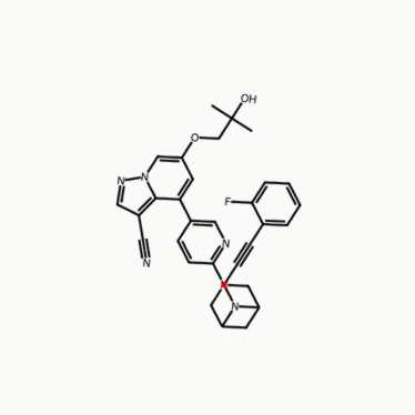 CC(C)(O)COc1cc(-c2ccc(N3CC4CC(C3)N4CC#Cc3ccccc3F)nc2)c2c(C#N)cnn2c1